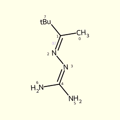 C/C(=N\N=C(N)N)C(C)(C)C